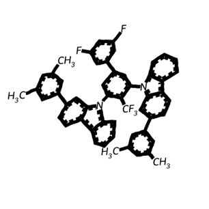 Cc1cc(C)cc(-c2ccc3c4ccccc4n(-c4cc(-c5cc(F)cc(F)c5)cc(-n5c6ccccc6c6ccc(-c7cc(C)cc(C)c7)cc65)c4C(F)(F)F)c3c2)c1